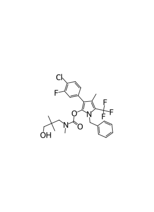 Cc1c(-c2ccc(Cl)c(F)c2)c(OC(=O)N(C)CC(C)(C)CO)n(Cc2ccccc2)c1C(F)(F)F